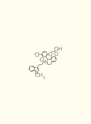 Cn1cc(CCC(=O)N2CCc3ccccc3C2c2cc(Cl)ccc2OCC(=O)O)c2ccccc21